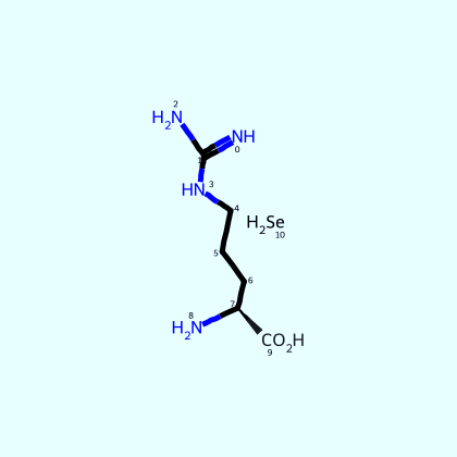 N=C(N)NCCC[C@H](N)C(=O)O.[SeH2]